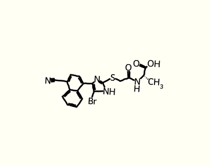 C[C@H](NC(=O)CSc1nc(-c2ccc(C#N)c3ccccc23)c(Br)[nH]1)C(=O)O